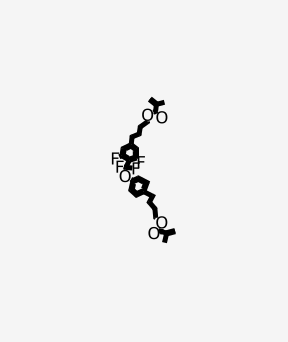 C=C(C)C(=O)OCCCCc1ccc(OC(F)(F)c2c(F)cc(CCCCOC(=O)C(=C)C)cc2F)cc1